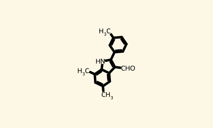 Cc1cccc(-c2[nH]c3c(C)cc(C)cc3c2C=O)c1